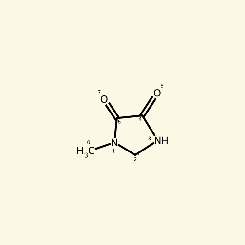 CN1[CH]NC(=O)C1=O